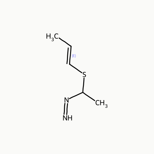 C/C=C/SC(C)N=N